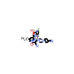 Cc1cc(C(C)Nc2ccc(Cl)nc2C(=O)O)c2nc(N3CCN(c4ccc(C#N)cc4)C[C@H]3C)c(C#N)c(=O)n2c1